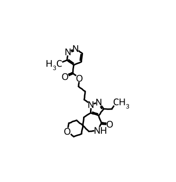 CCc1nn(CCCOC(=O)c2ccnnc2C)c2c1C(=O)NCC1(CCOCC1)C2